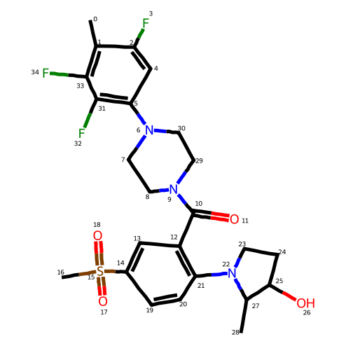 Cc1c(F)cc(N2CCN(C(=O)c3cc(S(C)(=O)=O)ccc3N3CCC(O)C3C)CC2)c(F)c1F